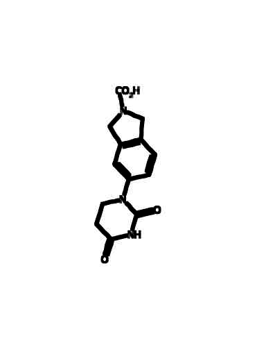 O=C1CCN(c2ccc3c(c2)CN(C(=O)O)C3)C(=O)N1